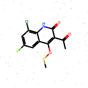 CSOc1c(C(C)=O)c(=O)[nH]c2c(Cl)cc(F)cc12